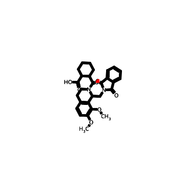 COc1ccc2c(c1OC)C(CN1C(=O)c3ccccc3C1=O)N(C(=O)C1CCCCC1C(=O)O)CC2